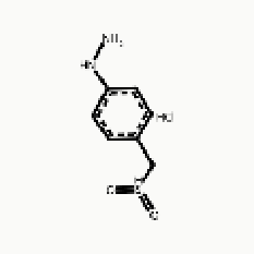 Cl.NNc1ccc(C[SH](=O)=O)cc1